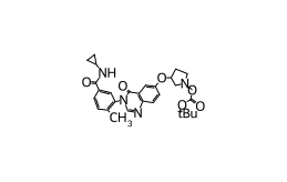 Cc1ccc(C(=O)NC2CC2)cc1-n1cnc2ccc(OC3CCN(OC(=O)OC(C)(C)C)C3)cc2c1=O